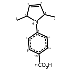 CC1C=CC(C)N1c1ccc(C(=O)O)cc1